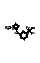 C[C@@H]1CC[C@H]1Oc1cccc(C(F)(F)F)c1